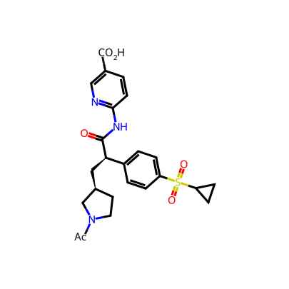 CC(=O)N1CC[C@H](C[C@@H](C(=O)Nc2ccc(C(=O)O)cn2)c2ccc(S(=O)(=O)C3CC3)cc2)C1